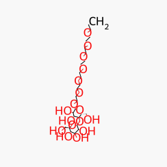 C=CCOCCOCCOCCOCCOCCOCCO[C@H]1O[C@H](CO)[C@@H](O[C@@H]2O[C@H](CO)[C@H](O)[C@H](O)[C@H]2O)[C@H](O)[C@H]1O